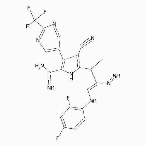 CC(/C(=C/Nc1ccc(F)cc1F)N=N)c1[nH]c(C(=N)N)c(-c2cnc(C(F)(F)F)nc2)c1C#N